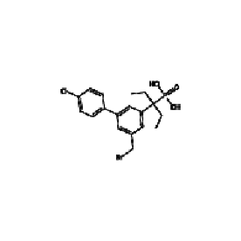 CCC(CC)(c1cc(CBr)cc(-c2ccc(Cl)cc2)c1)P(=O)(O)O